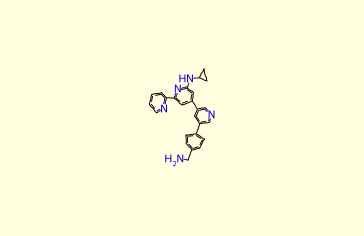 NCc1ccc(-c2cncc(-c3cc(NC4CC4)nc(-c4ccccn4)c3)c2)cc1